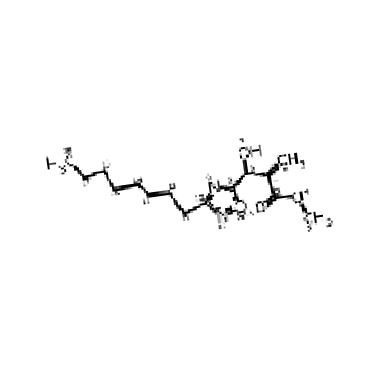 C=C(C(=O)OC)C(O)c1nc(CCCCCCCC)no1